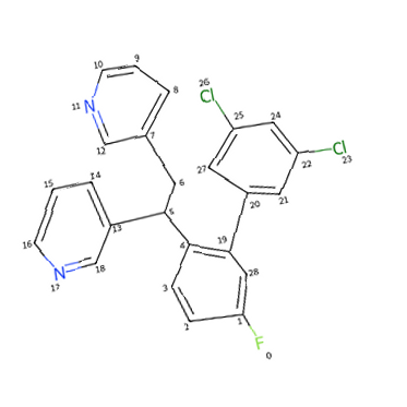 Fc1ccc(C(Cc2cccnc2)c2cccnc2)c(-c2cc(Cl)cc(Cl)c2)c1